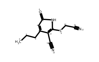 CCCc1cc(=O)[nH]c(SCC#N)c1C#N